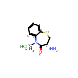 CN1C(=O)[C@@H](N)CSc2ccccc21.Cl